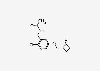 CC(=O)NCc1cc(OC[C@H]2CCN2)cnc1Cl